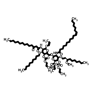 C=CCOC(=O)O[C@@H]1C(CO[C@@H]2O[C@H](COC)[C@@H](OP(=O)(OCC=C)OCC=C)[C@H](OCC[C@@H](CCCCCCC)OC)[C@H]2NC(=O)CCCCCCCCC/C=C\CCCCCC)O[C@H](O/C=C\C)[C@H](NC(=O)CC(=O)CCCCCCCCCCC)[C@H]1OCCCCCCCCCC